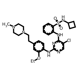 CCOc1cc(CCN2CCN(C)CC2)ccc1Nc1ncc(Cl)c(Nc2ccccc2S(=O)(=O)NC2CCC2)n1